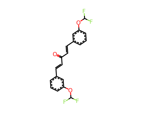 O=C(C=Cc1cccc(OC(F)F)c1)C=Cc1cccc(OC(F)F)c1